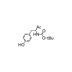 CC(=O)[C@H](Cc1ccc(O)cc1)NC(=O)OC(C)(C)C